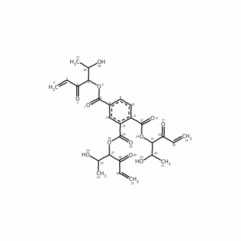 C=CC(=O)C(OC(=O)c1ccc(C(=O)OC(C(=O)C=C)C(C)O)c(C(=O)OC(C(=O)C=C)C(C)O)c1)C(C)O